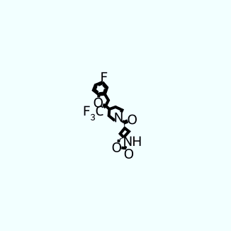 O=C1N[C@]2(CO1)C[C@@H](C(=O)N1CCC(C3(C(F)(F)F)Cc4cc(F)ccc4O3)CC1)C2